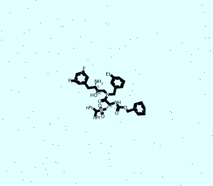 CCCC(CCC)S(=O)(=O)C[C@@H](NC(=O)OCc1ccccc1)C(=O)N(Cc1cccc(CC)c1)C[C@@H](O)[C@@H](N)Cc1cc(F)cc(F)c1